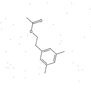 CC(=O)OCCc1cc(C)cc(C)c1